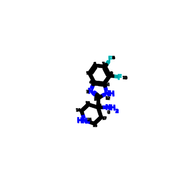 NC1(c2nc3ccc(F)c(F)c3[nH]2)CCNCC1